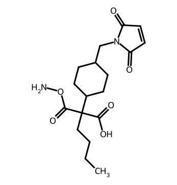 CCCCC(C(=O)O)(C(=O)ON)C1CCC(CN2C(=O)C=CC2=O)CC1